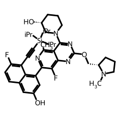 Cc1nc(-c2cc(O)cc3ccc(F)c(C#C[Si](C(C)C)(C(C)C)C(C)C)c23)c(F)c2nc(OC[C@@H]3CCCN3C)nc(N3CCC[C@@H](O)C3)c12